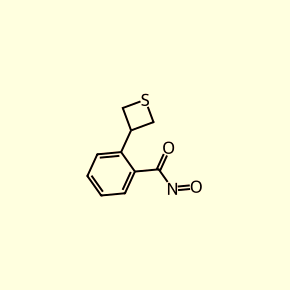 O=NC(=O)c1ccccc1C1CSC1